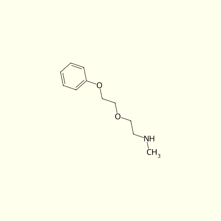 CNCCOCCOc1ccccc1